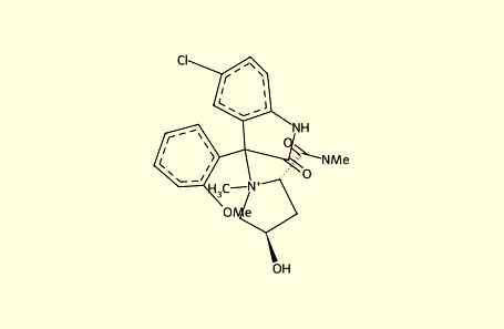 CNC(=O)[C@@H]1C[C@@H](O)C[N+]1(C)C1(c2ccccc2OC)C(=O)Nc2ccc(Cl)cc21